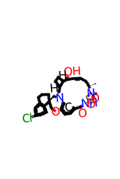 C[C@H]1C/C=C/C(O)[C@@H]2CC[C@H]2CN2C[C@@]3(CCCc4cc(Cl)ccc43)COc3ccc(cc32)C(=O)NS(=O)(=O)N1C